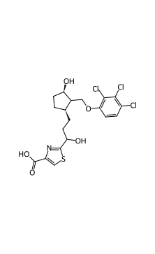 O=C(O)c1csc(C(O)CC[C@H]2CC[C@@H](O)C2COc2ccc(Cl)c(Cl)c2Cl)n1